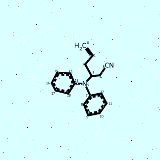 C=CCC(CC#N)N(c1ccccc1)c1ccccc1